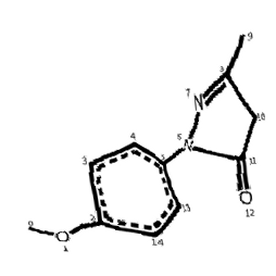 COc1ccc(N2N=C(C)CC2=O)cc1